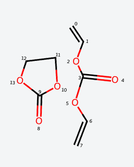 C=COC(=O)OC=C.O=C1OCCO1